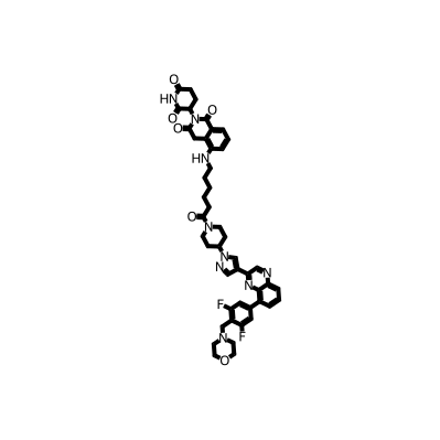 O=C1CCC(N2C(=O)Cc3c(NCCCCCC(=O)N4CCC(n5cc(-c6cnc7cccc(-c8cc(F)c(CN9CCOCC9)c(F)c8)c7n6)cn5)CC4)cccc3C2=O)C(=O)N1